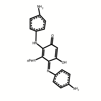 CCCCCC1=C(Nc2ccc(N)cc2)C(=O)C=C(O)/C1=N\c1ccc(N)cc1